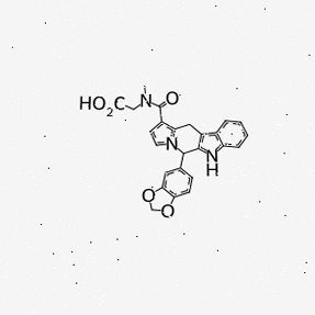 CN(CC(=O)O)C(=O)c1ccn2c1Cc1c([nH]c3ccccc13)C2c1ccc2c(c1)OCO2